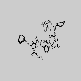 C=CC(=O)OCC(COc1ccccc1)OC(=O)NC(C)Cc1cccc(C(C)(C)NC(=O)OC(COC(=O)C(=C)C)COc2ccccc2)c1